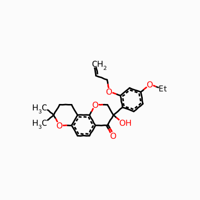 C=CCOc1cc(OCC)ccc1C1(O)COc2c(ccc3c2CCC(C)(C)O3)C1=O